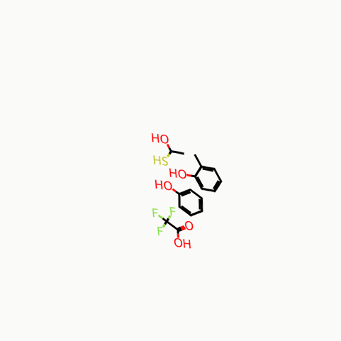 CC(O)S.Cc1ccccc1O.O=C(O)C(F)(F)F.Oc1ccccc1